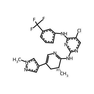 C[C@@H]1CC(c2cnn(C)c2)=CN=C1Nc1ncc(Cl)c(Nc2cccc(C(F)(F)F)c2)n1